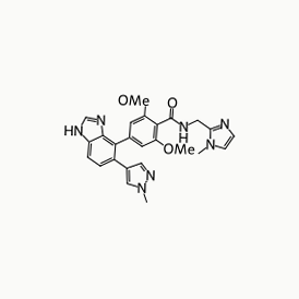 COc1cc(-c2c(-c3cnn(C)c3)ccc3[nH]cnc23)cc(OC)c1C(=O)NCc1nccn1C